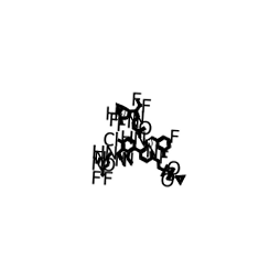 Cn1nc(Nc2nnc(C(F)F)o2)c2c(Cl)ccc(-c3ccc(CCC(C)(C)S(=O)(=O)C4CC4)nc3[C@H](Cc3cc(F)cc(F)c3)NC(=O)Cn3nc(C(F)F)c4c3C(F)(F)[C@@H]3CC43)c21